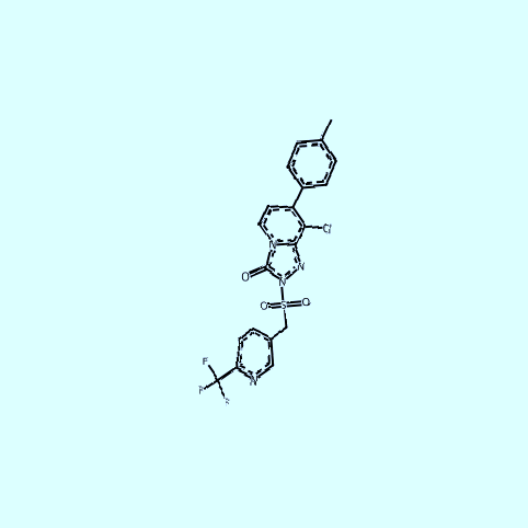 Cc1ccc(-c2ccn3c(=O)n(S(=O)(=O)Cc4ccc(C(F)(F)F)nc4)nc3c2Cl)cc1